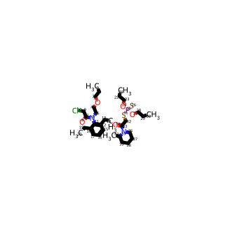 CCCOCCN(C(=O)CCl)c1c(CC)cccc1CC.CCCOP(=S)(OCCC)SCC(=O)N1CCCCC1C